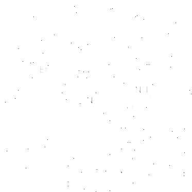 CCc1cccc(Cn2c3ccc[c]c3c3c(C(N)=O)cccc32)c1